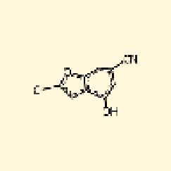 N#Cc1cc(O)c2cc(Cl)oc2c1